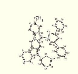 Cc1ccc2c3cc4c5ccccc5n(C5C=CC=CC5)c4cc3n(-c3cc(-c4ccccc4)cc(-c4ccccc4)c3)c2c1